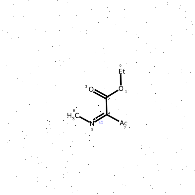 CCOC(=O)/C(=N\C)C(C)=O